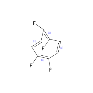 FC1=C(F)/C=C/C(F)=C(F)/C=C\1